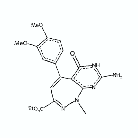 CCOC(=O)C1=NN(C)c2nc(N)[nH]c(=O)c2C(c2ccc(OC)c(OC)c2)=C1